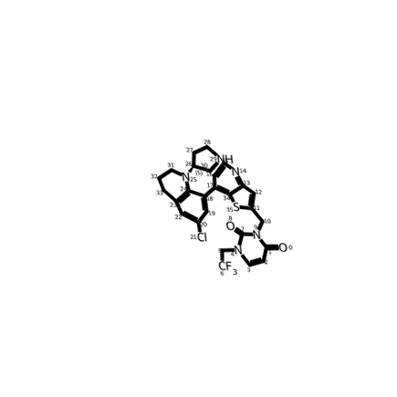 O=c1ccn(CC(F)(F)F)c(=O)n1Cc1cc2nccc(-c3cc(Cl)cc4c3N([C@H]3CCNC3)CCC4)c2s1